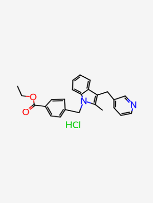 CCOC(=O)c1ccc(Cn2c(C)c(Cc3cccnc3)c3ccccc32)cc1.Cl